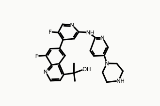 CC(C)(O)c1ccnc2c(F)cc(-c3cc(Nc4ccc(N5CCNCC5)cn4)ncc3F)cc12